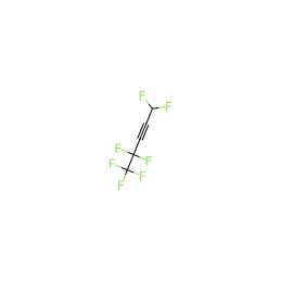 FC(F)C#CC(F)(F)C(F)(F)F